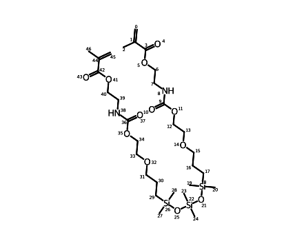 C=C(C)C(=O)OCCNC(=O)OCCOCCC[Si](C)(C)O[Si](C)(C)O[Si](C)(C)CCCOCCOC(=O)NCCOC(=O)C(=C)C